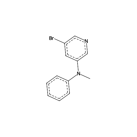 CN(c1ccccc1)c1cncc(Br)c1